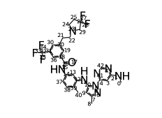 CNc1cc(-n2nc(C)cc2Nc2cc(NC(=O)c3cc(CCN4CCC(F)(F)C4)cc(C(F)(F)F)c3)ccc2C)ncn1